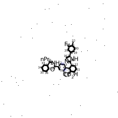 C=C(/C=C\C(=C\C(=O)O)c1c(Cl)cccc1-c1ncc(-c2ccc(C)c(F)c2)[nH]1)C(=O)N[C@H](CCC)c1ccccc1